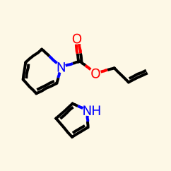 C=CCOC(=O)N1C=CC=CC1.c1cc[nH]c1